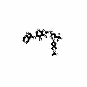 CC(=O)N1CC2(CC(n3nc(Nc4nc5ncc(Oc6cnn7ccncc67)c(Cl)c5n4C)cc3C(F)(F)F)C2)C1